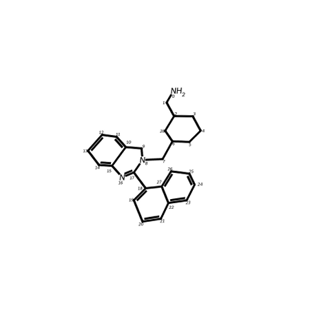 NCC1CCCC(CN2Cc3ccccc3N=C2c2cccc3ccccc23)C1